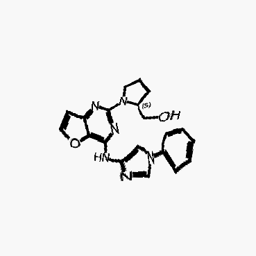 OC[C@@H]1CCCN1c1nc(Nc2cn(-c3ccccc3)cn2)c2occc2n1